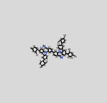 Cc1ccc(-c2ccc3c(c2)c2cc(-c4ccc(C)cc4C)ccc2n3-c2cc(-c3ccc(C#N)c(-n4c5ccc(-c6ccc(C)cc6C)cc5c5cc(-c6ccc(C)cc6C)ccc54)c3)ccc2C#N)c(C)c1